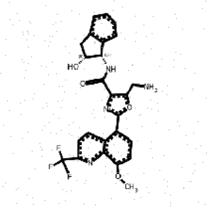 COc1ccc(-c2nc(C(=O)N[C@H]3c4ccccc4C[C@H]3O)c(CN)o2)c2ccc(C(F)(F)F)nc12